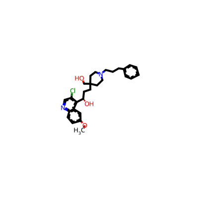 COc1ccc2ncc(Cl)c([C@H](O)CCC3(CO)CCN(CCCc4ccccc4)CC3)c2c1